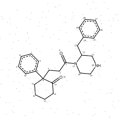 O=C(CCC1(c2ccccc2)CCCCC1=O)N1CCNCC1Cc1ccccc1